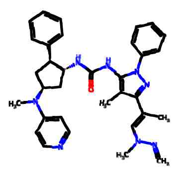 C=NN(C)/C=C(\C)c1nn(-c2ccccc2)c(NC(=O)N[C@@H]2C[C@@H](N(C)c3ccncc3)C[C@H]2c2ccccc2)c1C